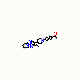 CCCCN1CC2CCC(C1)N2c1ncc(C2CCN([C@H]3CC4(C[C@H](C(C)=O)C4)C3)CC2)cn1